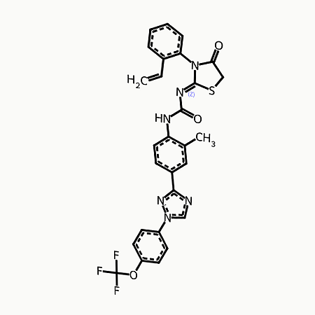 C=Cc1ccccc1N1C(=O)CS/C1=N\C(=O)Nc1ccc(-c2ncn(-c3ccc(OC(F)(F)F)cc3)n2)cc1C